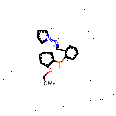 COCOc1ccccc1Pc1ccccc1/C=N/n1cccc1